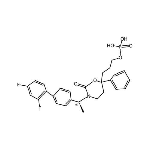 C[C@@H](c1ccc(-c2ccc(F)cc2F)cc1)N1CCC(CCCOP(=O)(O)O)(c2ccccc2)OC1=O